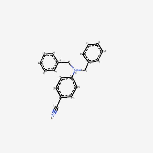 N#Cc1ccc(N(Cc2ccccc2)Cc2ccccc2)cc1